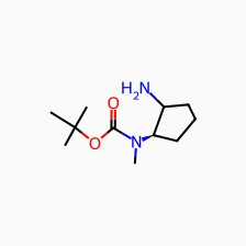 CN(C(=O)OC(C)(C)C)[C@@H]1CCCC1N